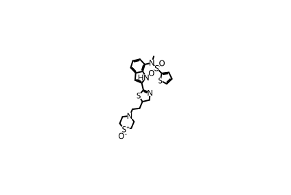 CN(c1cccc2cc(C3=NCC(CCN4CC[S+]([O-])CC4)S3)[nH]c12)S(=O)(=O)c1cccs1